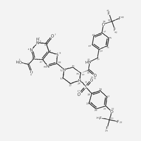 O=C(O)c1n[nH]c(=O)c2sc(N3CCN(S(=O)(=O)c4ccc(OC(F)(F)F)cc4)[C@@H](C(=O)NCc4ccc(OC(F)(F)F)cc4)C3)nc12